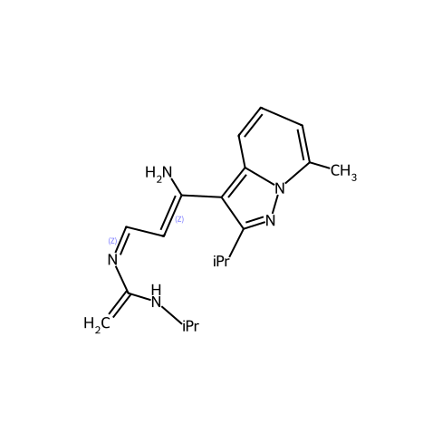 C=C(/N=C\C=C(/N)c1c(C(C)C)nn2c(C)cccc12)NC(C)C